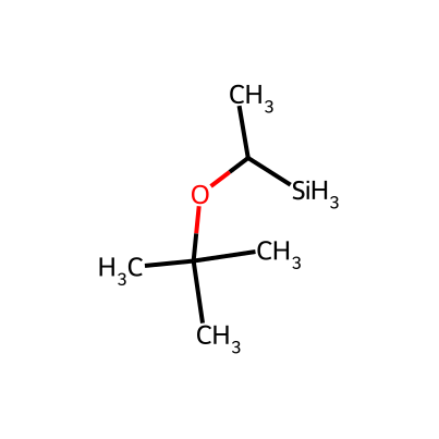 CC([SiH3])OC(C)(C)C